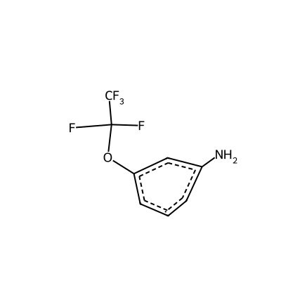 Nc1cccc(OC(F)(F)C(F)(F)F)c1